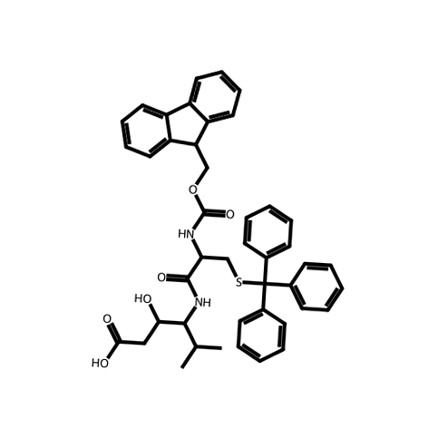 CC(C)C(NC(=O)C(CSC(c1ccccc1)(c1ccccc1)c1ccccc1)NC(=O)OCC1c2ccccc2-c2ccccc21)C(O)CC(=O)O